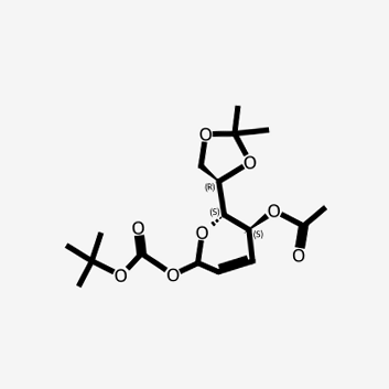 CC(=O)O[C@H]1C=CC(OC(=O)OC(C)(C)C)O[C@@H]1[C@H]1COC(C)(C)O1